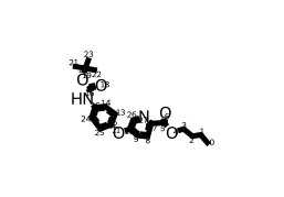 CCCCOC(=O)c1ccc(Oc2ccc(NC(=O)OC(C)(C)C)cc2)cn1